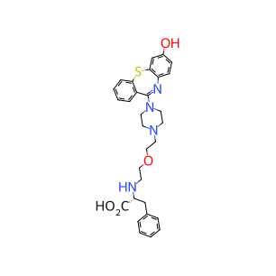 O=C(O)[C@@H](Cc1ccccc1)NCCOCCN1CCN(C2=Nc3ccc(O)cc3Sc3ccccc32)CC1